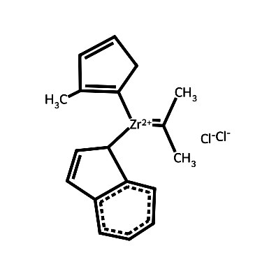 CC1=[C]([Zr+2](=[C](C)C)[CH]2C=Cc3ccccc32)CC=C1.[Cl-].[Cl-]